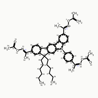 C=C(C)O/N=C(\C)c1ccc2c(c1)c1cc3c(cc1n2-c1ccc(/C(C)=N\OC(C)=O)cc1)C(CCCCCC)(CCCCCC)c1cc(/C(C)=N/OC(C)=O)ccc1-3